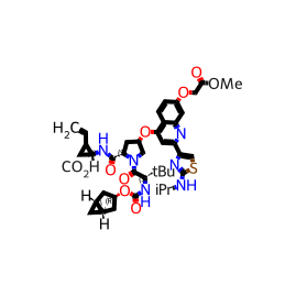 C=CC1C[C@]1(NC(=O)[C@@H]1CC(Oc2cc(-c3csc(NC(C)C)n3)nc3cc(OCC(=O)OC)ccc23)CN1C(=O)[C@@H](NC(=O)O[C@@H]1C[C@@H]2C[C@@H]2C1)C(C)(C)C)C(=O)O